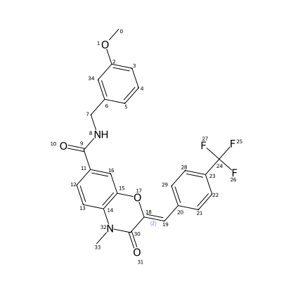 COc1cccc(CNC(=O)c2ccc3c(c2)O/C(=C\c2ccc(C(F)(F)F)cc2)C(=O)N3C)c1